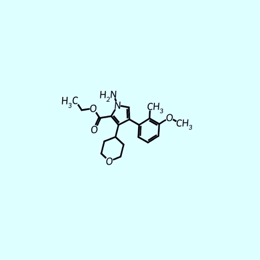 CCOC(=O)c1c(C2CCOCC2)c(-c2cccc(OC)c2C)cn1N